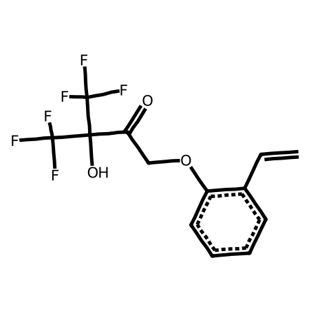 C=Cc1ccccc1OCC(=O)C(O)(C(F)(F)F)C(F)(F)F